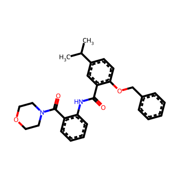 CC(C)c1ccc(OCc2ccccc2)c(C(=O)Nc2ccccc2C(=O)N2CCOCC2)c1